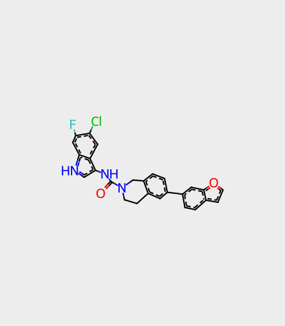 O=C(Nc1c[nH]c2cc(F)c(Cl)cc12)N1CCc2cc(-c3ccc4ccoc4c3)ccc2C1